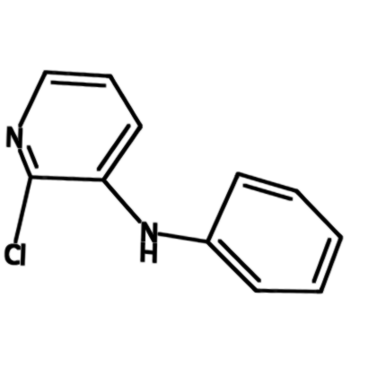 Clc1ncccc1Nc1ccccc1